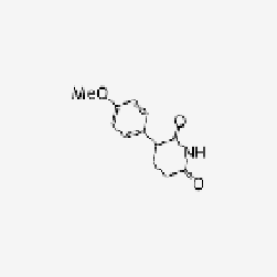 COc1ccc(C2CCC(=O)NC2=O)cc1